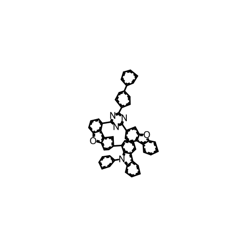 c1ccc(-c2ccc(-c3nc(-c4ccc5c(c4)oc4ccccc45)nc(-c4cccc5oc6ccc(-c7cccc8c9ccccc9n(-c9ccccc9)c78)cc6c45)n3)cc2)cc1